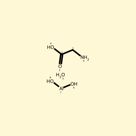 NCC(=O)O.O.[OH][Al][OH]